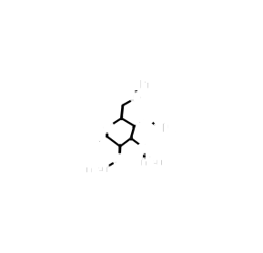 CCCCOC1C(OCCCC)[C@H](F)OC(COCCC)[C@@H]1OCCCC